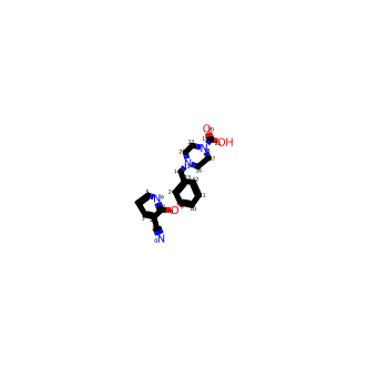 N#Cc1cccnc1Oc1cccc(CN2CCN(C(=O)O)CC2)c1